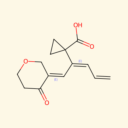 C=C/C=C(\C=C1/COCCC1=O)C1(C(=O)O)CC1